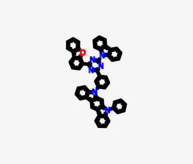 c1ccc(-n2c3ccccc3c3cc4c5ccccc5n(-c5cccc(-c6nc(-c7cccc8c7oc7ccccc78)nc(-n7c8ccccc8c8ccccc87)n6)c5)c4cc32)cc1